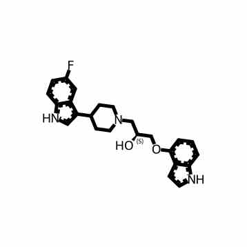 O[C@H](COc1cccc2[nH]ccc12)CN1CCC(c2c[nH]c3ccc(F)cc23)CC1